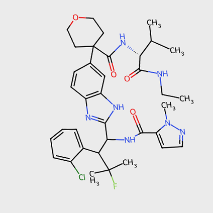 CCNC(=O)[C@H](NC(=O)C1(c2ccc3nc(C(NC(=O)c4ccnn4C)C(c4ccccc4Cl)C(C)(C)F)[nH]c3c2)CCOCC1)C(C)C